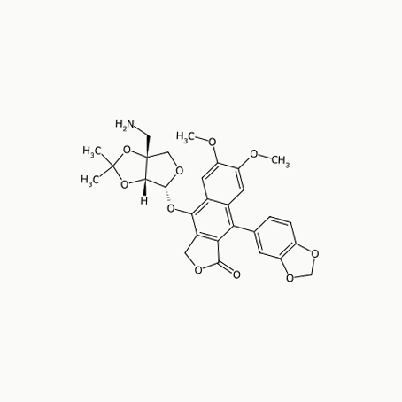 COc1cc2c(O[C@H]3OC[C@@]4(CN)OC(C)(C)O[C@@H]34)c3c(c(-c4ccc5c(c4)OCO5)c2cc1OC)C(=O)OC3